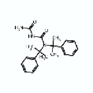 CC(C)(c1ccccc1)N(C(=O)NC(N)=O)C(C)(C)c1ccccc1